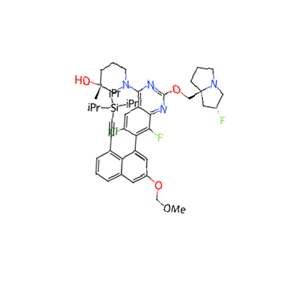 COCOc1cc(-c2c(Cl)cc3c(N4CCC[C@@](C)(O)C4)nc(OC[C@@]45CCCN4C[C@H](F)C5)nc3c2F)c2c(C#C[Si](C(C)C)(C(C)C)C(C)C)cccc2c1